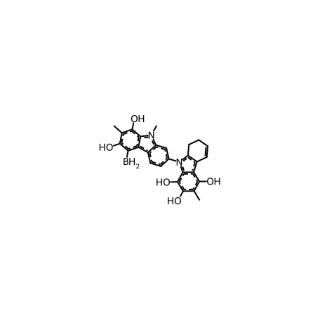 Bc1c(O)c(C)c(O)c2c1c1ccc(-n3c4c(c5c(O)c(C)c(O)c(O)c53)C=CCC4)cc1n2C